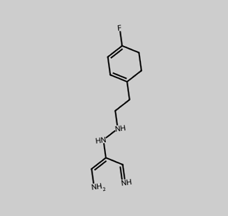 N=C/C(=C\N)NNCCC1=CC=C(F)CC1